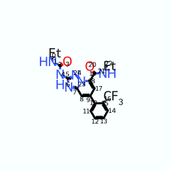 CCNC(=O)Nc1nc2cc(-c3ccccc3C(F)(F)F)cc(C(=O)NCC)n2n1